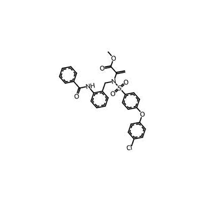 C=C(C(=O)OC)N(Cc1ccccc1NC(=O)c1ccccc1)S(=O)(=O)c1ccc(Oc2ccc(Cl)cc2)cc1